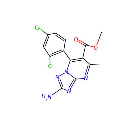 COC(=O)c1c(C)nc2nc(N)nn2c1-c1ccc(Cl)cc1Cl